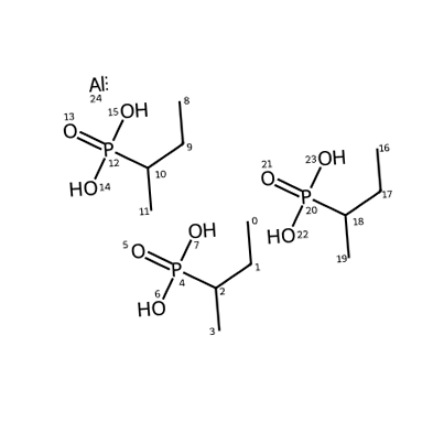 CCC(C)P(=O)(O)O.CCC(C)P(=O)(O)O.CCC(C)P(=O)(O)O.[Al]